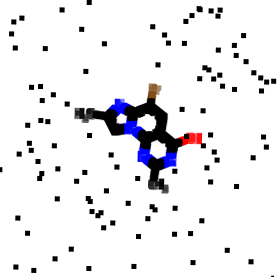 Cc1cn2c(n1)c(Br)cc1c(O)nc(C)nc12